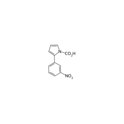 O=C(O)n1cccc1-c1cccc([N+](=O)[O-])c1